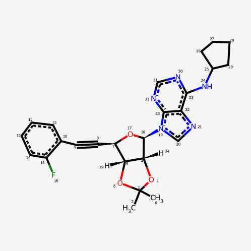 CC1(C)O[C@@H]2[C@H](O1)[C@@H](C#Cc1ccccc1F)O[C@H]2n1cnc2c(NC3CCCC3)ncnc21